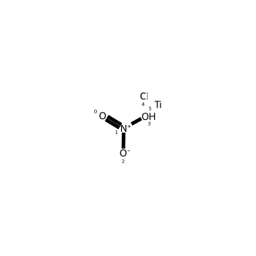 O=[N+]([O-])O.[C].[Ti]